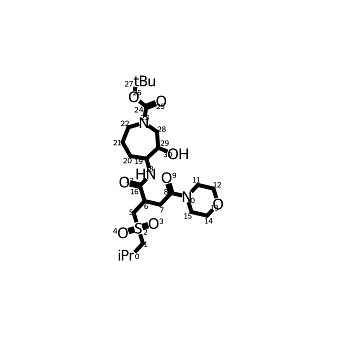 CC(C)CS(=O)(=O)CC(CC(=O)N1CCOCC1)C(=O)NC1CCCN(C(=O)OC(C)(C)C)CC1O